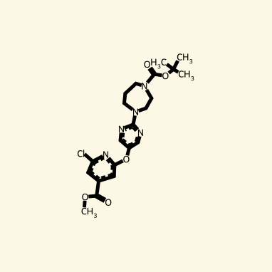 COC(=O)c1cc(Cl)nc(Oc2cnc(N3CCCN(C(=O)OC(C)(C)C)CC3)nc2)c1